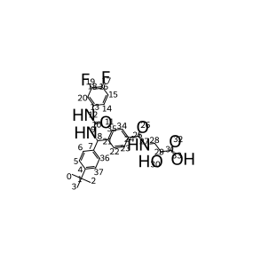 CC(C)(C)c1ccc(C(NC(=O)Nc2ccc(F)c(F)c2)c2ccc(C(=O)NCC(O)C(=O)O)cc2)cc1